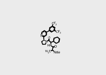 CNC(C)C(=O)NC(C(=O)N1CCCC1c1cc(-c2cc(C(F)(F)F)cc(C(F)(F)F)c2)ccn1)C1CCCCC1